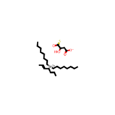 CC=CCCCC.CCCCCCC[CH2][Sn+2][CH2]CCCCCCC.O=C([O-])CC(O)C([O-])=S